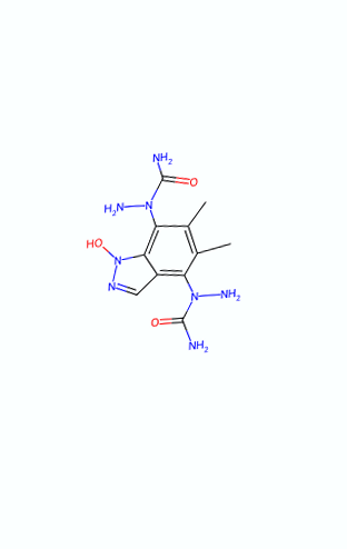 Cc1c(C)c(N(N)C(N)=O)c2c(cnn2O)c1N(N)C(N)=O